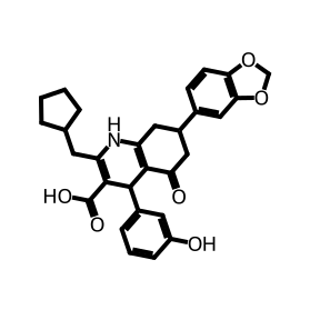 O=C(O)C1=C(CC2CCCC2)NC2=C(C(=O)CC(c3ccc4c(c3)OCO4)C2)C1c1cccc(O)c1